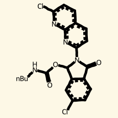 CCCCNC(=O)OC1c2cc(Cl)ccc2C(=O)N1c1ccc2ccc(Cl)nc2n1